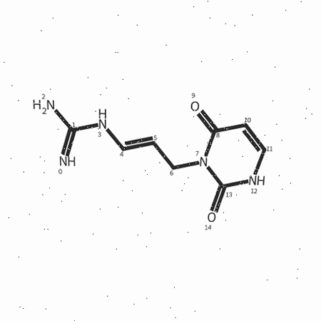 N=C(N)NC=CCn1c(=O)cc[nH]c1=O